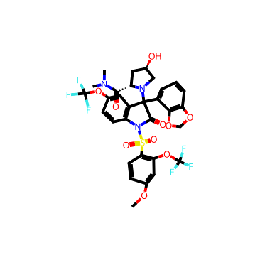 COc1ccc(S(=O)(=O)N2C(=O)C(c3cccc4c3OCO4)(N3C[C@H](O)C[C@H]3C(=O)N(C)C)c3cc(OC(F)(F)F)ccc32)c(OC(F)(F)F)c1